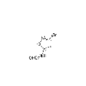 O=CNC1CC(Br)=NO1